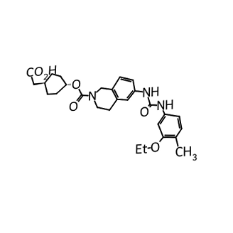 CCOc1cc(NC(=O)Nc2ccc3c(c2)CCN(C(=O)O[C@H]2CC[C@H](CC(=O)O)CC2)C3)ccc1C